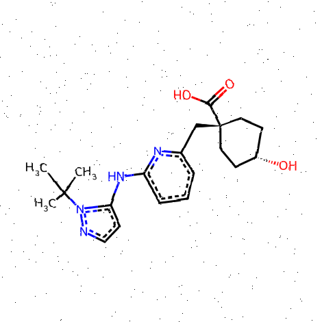 CC(C)(C)n1nccc1Nc1cccc(C[C@]2(C(=O)O)CC[C@@H](O)CC2)n1